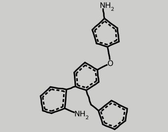 Nc1ccc(Oc2ccc(-c3ccccc3N)c(Cc3ccccc3)c2)cc1